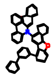 c1ccc(-c2cccc(-c3cccc4oc5c6ccccc6c(N(c6ccc7ccccc7c6)c6ccccc6-c6ccccc6)cc5c34)c2)cc1